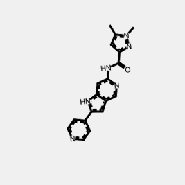 Cc1cc(C(=O)Nc2cc3[nH]c(-c4ccncc4)cc3cn2)nn1C